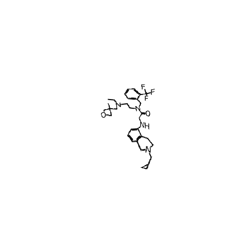 CCN(CCN(Cc1ccccc1C(F)(F)F)C(=O)CNc1cccc2c1CCN(CC1CC1)C2)CC1(C)COC1